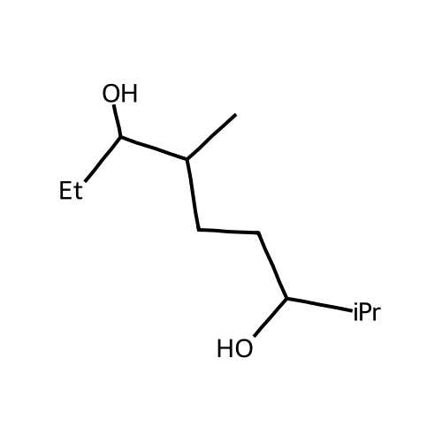 CCC(O)C(C)CCC(O)C(C)C